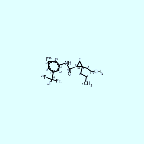 CCCC1(CCC)C[C@@H]1C(=O)Nc1cc(F)cc(C(F)(F)F)c1